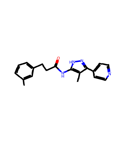 Cc1cccc(CCC(=O)Nc2[nH]nc(-c3ccncc3)c2C)c1